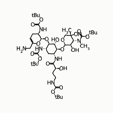 CN(C(=O)OC(C)(C)C)[C@@H]1[C@@H](O)[C@@H](O[C@@H]2[C@@H](O)[C@H](O[C@H]3OC(CN)=CC[C@H]3NC(=O)OC(C)(C)C)[C@@H](NC(=O)OC(C)(C)C)C[C@H]2NC(=O)[C@@H](O)CCNC(=O)OC(C)(C)C)OC[C@]1(C)O